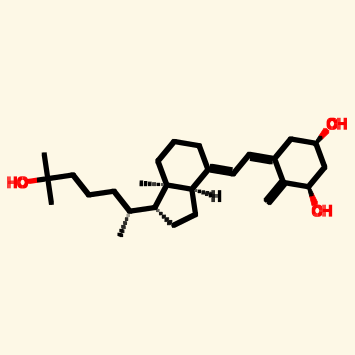 C=C1/C(=C\C=C2/CCC[C@@]3(C)[C@@H]2CC[C@@H]3[C@H](C)CCCC(C)(C)O)C[C@@H](O)C[C@H]1O